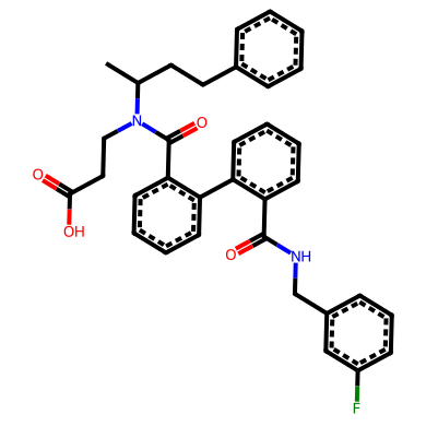 CC(CCc1ccccc1)N(CCC(=O)O)C(=O)c1ccccc1-c1ccccc1C(=O)NCc1cccc(F)c1